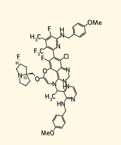 COc1ccc(CNc2nccnc2C(C)N2C=C(OC[C@@]34CCCN3C[C@H](F)C4)Oc3c(F)c(-c4nc(NCc5ccc(OC)cc5)c(F)c(C)c4C(F)(F)F)c(Cl)c4c3=C2NCN=4)cc1